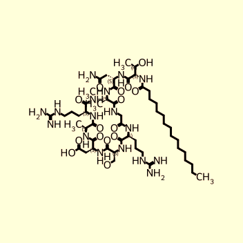 CCCCCCCCCCCCCCCC(=O)N[C@H](C(=O)N[C@@H](CC(N)=O)C(=O)N[C@@H](C)C(=O)NCC(=O)N[C@@H](CCCNC(=N)N)C(=O)N[C@@H](CO)C(=O)N[C@@H](CC(=O)O)C(=O)N[C@@H](C)C(=O)N[C@@H](CCCNC(=N)N)C(=O)NC)[C@@H](C)O